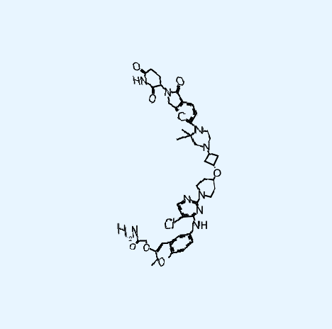 CC(=O)/C(=C\c1cc(Nc2nc(N3CCC(O[C@H]4C[C@H](N5CCN(c6ccc7c(c6)CN(C6CCC(=O)NC6=O)C7=O)C(C)(C)C5)C4)CC3)ncc2Cl)ccc1C)OCC(N)=O